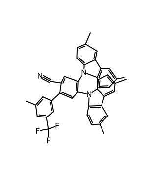 Cc1cc(-c2cc(-n3c4ccc(C)cc4c4cc(C)ccc43)c(-n3c4ccc(C)cc4c4cc(C)ccc43)cc2C#N)cc(C(F)(F)F)c1